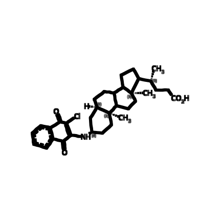 C[C@H](CCC(=O)O)C1CCC2C3CC[C@@H]4C[C@H](NC5=C(Cl)C(=O)c6ccccc6C5=O)CC[C@]4(C)C3CC[C@@]21C